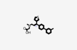 Cc1cccc(-c2ccc(/C(=C/CN(C)CC(=O)O)c3ccsc3)cc2)c1